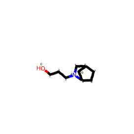 OCCCN1CC2CCC1C2